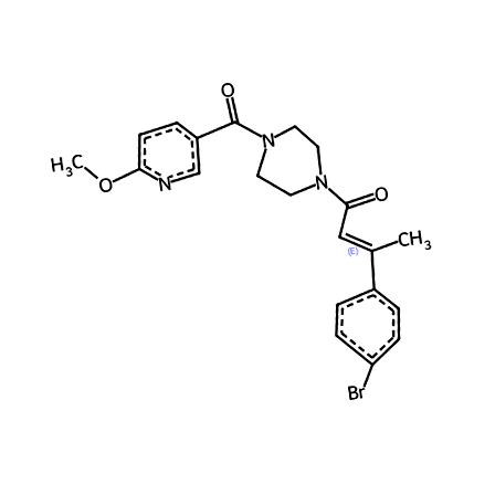 COc1ccc(C(=O)N2CCN(C(=O)/C=C(\C)c3ccc(Br)cc3)CC2)cn1